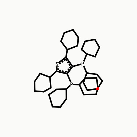 C1CCC(c2sc(C3CCCCC3)c(P(C3CCCCC3)C3CCCCC3)c2P(C2CCCCC2)C2CCCCC2)CC1